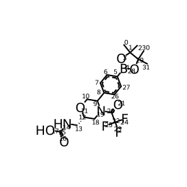 CC1(C)OB(c2ccc(C3CO[C@@H](CNC(=O)O)CN3C(=O)C(F)(F)F)cc2)OC1(C)C